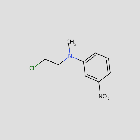 CN(CCCl)c1cccc([N+](=O)[O-])c1